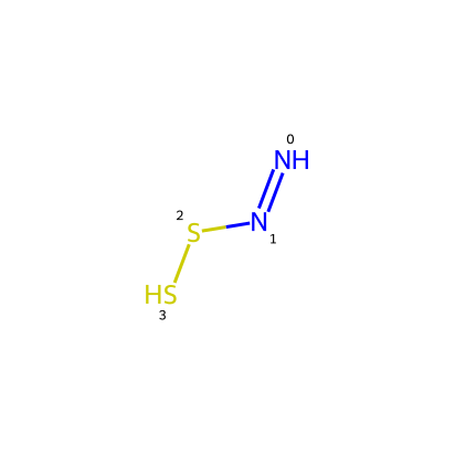 N=NSS